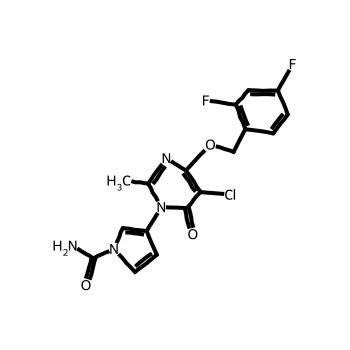 Cc1nc(OCc2ccc(F)cc2F)c(Cl)c(=O)n1-c1ccn(C(N)=O)c1